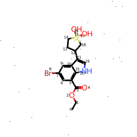 CCOC(=O)c1cc(Br)cc2c(C3CCS(O)(O)C3)c[nH]c12